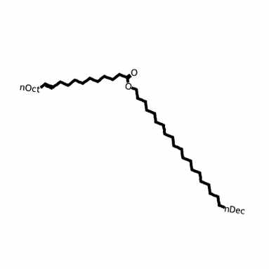 CCCCCCCCC=CCCCCCCCCCC(=O)OCCCCCCCCCCCCCCCCCCCCCCCCCCCCCC